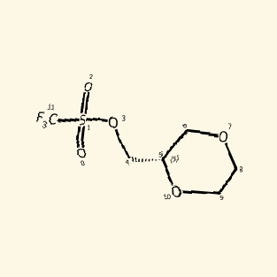 O=S(=O)(OC[C@@H]1COCCO1)C(F)(F)F